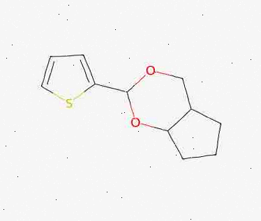 c1csc(C2OCC3CCCC3O2)c1